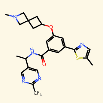 Cc1cnc(-c2cc(OC3CC4(C3)CN(C)C4)cc(C(=O)NC(C)c3cnc(C(F)(F)F)nc3)c2)s1